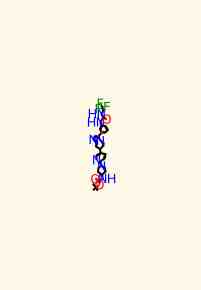 CC(C)(C)OC(=O)NC1CCN(c2ccc(C3C=Cn4c(-c5cccc(NC(=O)NCC(F)(F)F)c5)cnc4C3)cn2)CC1